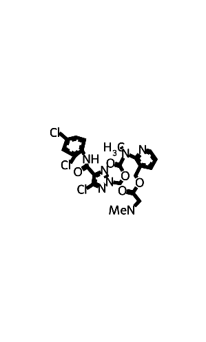 CNCC(=O)OCc1cccnc1N(C)C(=O)OCn1nc(Cl)c(C(=O)Nc2ccc(Cl)cc2Cl)n1